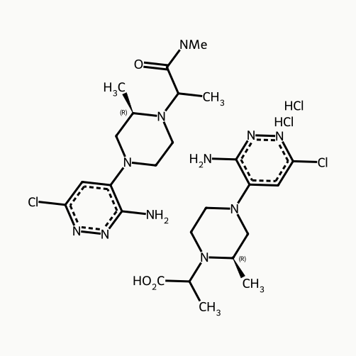 CC(C(=O)O)N1CCN(c2cc(Cl)nnc2N)C[C@H]1C.CNC(=O)C(C)N1CCN(c2cc(Cl)nnc2N)C[C@H]1C.Cl.Cl